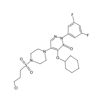 O=c1c(OC2CCCCC2)c(N2CCN(S(=O)(=O)CCCCl)CC2)cnn1-c1cc(F)cc(F)c1